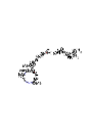 CO[C@H]1CC2CC[C@@H](C)C(O2)C(=O)C(=O)N2CCCC[C@H]2C(=O)O[C@H](CC[C@@H]2CC[C@@H](OC(=O)NCCOCCC(=O)NCc3cnc(N4CCN(C(=O)CCOCCN5CCN(c6ncc(C(=O)N7CCc8cc(CNc9ncnc(N)c9C(=N)c9ccc%10oc(N)nc%10c9)ccc8C7)cn6)CC5)CC4)nc3)[C@H](OC)C2)C[C@@H](OC)[C@H](C)/C=C(\C)[C@@H](O)[C@@H](O)C(=O)[C@H](C)C[C@H](C)/C=C/C=C/C=C/1C